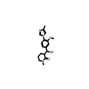 COc1cc(C(O)C2CCCN(C)C2=O)ccc1-n1cnc(C)c1